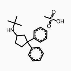 CC(C)(C)NC1CCC(c2ccccc2)(c2ccccc2)C1.CS(=O)(=O)O